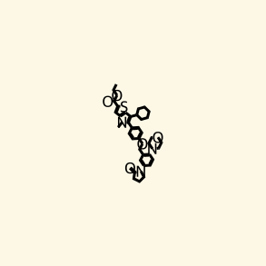 CCOC(=O)c1cc2c(s1)c(C1CCCCC1)c(-c1ccc(OCc3cc(N4CCCC4=O)ccc3N3CCOCC3)cc1)n2C